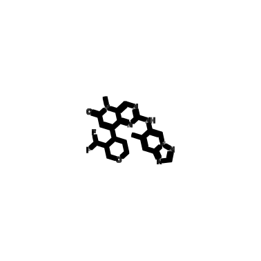 Cc1cc2ncnn2cc1Nc1ncc2c(n1)c(C1CCOCC1C(F)F)cc(=O)n2C